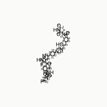 O=C1CCC(N2Cc3cc(CC(O)CN4CCN(c5ccc(-c6cnc7[nH]cc(C(=O)c8c(F)ccc(NS(=O)(=O)N9CC[C@@H](F)C9)c8F)c7c6)cc5)CC4)ccc3C2=O)C(=O)N1